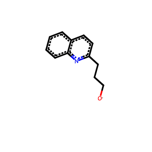 [O]CCCc1ccc2ccccc2n1